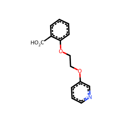 O=C(O)c1ccccc1OCCOc1cccnc1